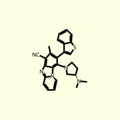 Cc1c(-c2csc3ccccc23)c(N2CC[C@H](N(C)C)C2)c2c(nc3ccccn32)c1C#N